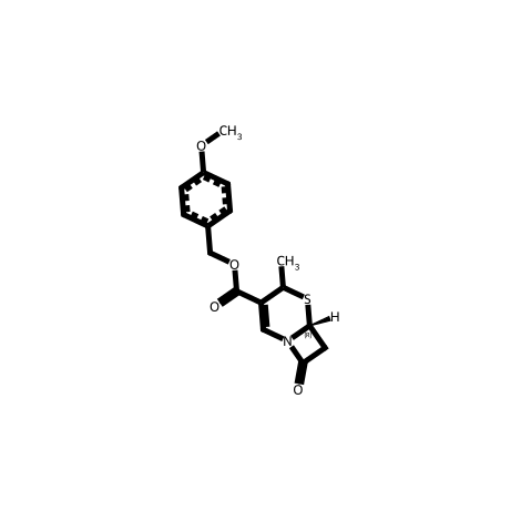 COc1ccc(COC(=O)C2=CN3C(=O)C[C@H]3SC2C)cc1